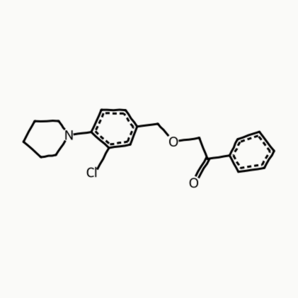 O=C(COCc1ccc(N2CCCCC2)c(Cl)c1)c1ccccc1